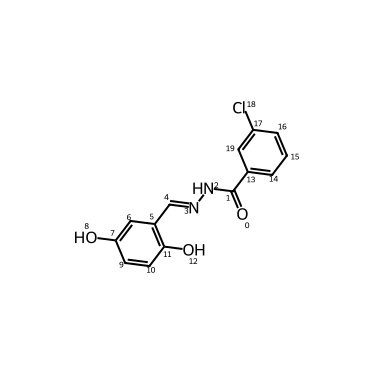 O=C(NN=Cc1cc(O)ccc1O)c1cccc(Cl)c1